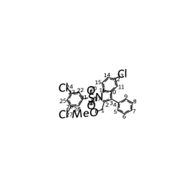 COCc1c(-c2ccccc2)c2cc(Cl)ccc2n1S(=O)(=O)c1cc(Cl)cc(Cl)c1